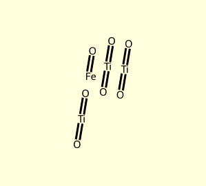 [O]=[Fe].[O]=[Ti]=[O].[O]=[Ti]=[O].[O]=[Ti]=[O]